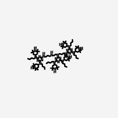 CCCCN(c1nc(NCCCNCCN(CCCNc2nc(N(CCCC)C3CC(C)(C)NC(C)(C)C3)nc(N(CCCC)C3CC(C)(C)NC(C)(C)C3)n2)c2nc(N(CCCC)C3CC(C)(C)NC(C)(C)C3)nc(N(CCCC)C3CC(C)(C)NC(C)(C)C3)n2)nc(N(CCCC)C2CC(C)(C)NC(C)(C)C2)n1)C1CC(C)(C)NC(C)(C)C1